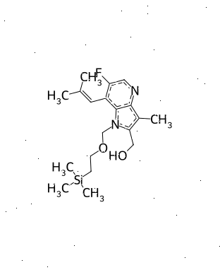 CC(C)=Cc1c(F)cnc2c(C)c(CO)n(COCC[Si](C)(C)C)c12